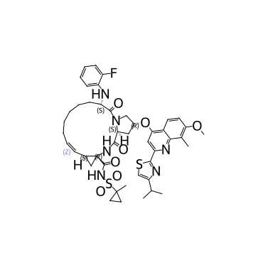 COc1ccc2c(O[C@@H]3C[C@H]4C(=O)N[C@]5(C(=O)NS(=O)(=O)C6(C)CC6)C[C@H]5/C=C\CCCCC[C@H](Nc5ccccc5F)C(=O)N4C3)cc(-c3nc(C(C)C)cs3)nc2c1C